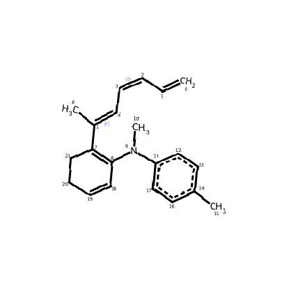 C=C/C=C\C=C(/C)C1=C(N(C)c2ccc(C)cc2)C=CCC1